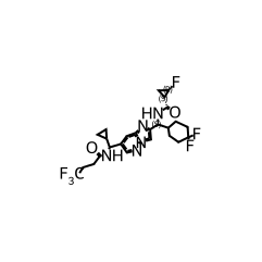 O=C(CCC(F)(F)F)NC(c1cnn2cc([C@@H](NC(=O)[C@@H]3C[C@H]3F)C3CCC(F)(F)CC3)nc2c1)C1CC1